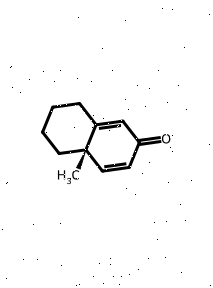 C[C@]12C=CC(=O)C=C1CCCC2